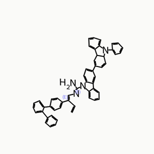 C=C/C(=C\N=C(/N)n1c2ccccc2c2cc(C3=CC4c5ccccc5N(c5ccccc5)C4C=C3)ccc21)c1ccc(-c2ccccc2-c2ccccc2)cc1